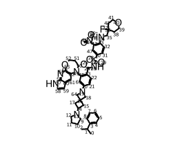 CC(C)c1ccccc1[C@@H]1CCCN1C1CC2(C1)CN(c1ccc(C(=O)NS(=O)(=O)c3ccc(NCC4(F)CCOCC4)c([N+](=O)[O-])c3)c(N3CCCOc4nc5[nH]ccc5cc43)c1)C2